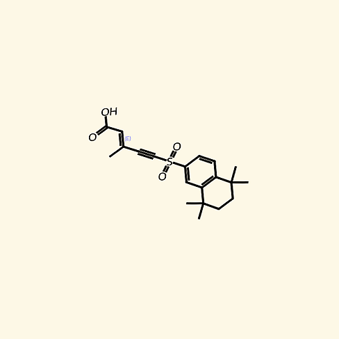 C/C(C#CS(=O)(=O)c1ccc2c(c1)C(C)(C)CCC2(C)C)=C\C(=O)O